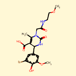 COCCNC(=O)CN1C(=O)NC(c2cc(Br)c(O)c(OC)c2)C(C(=O)O)=C1C